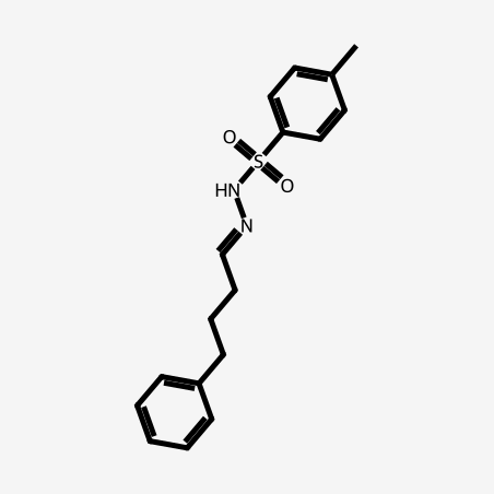 Cc1ccc(S(=O)(=O)NN=CCCCc2ccccc2)cc1